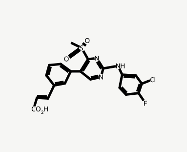 CS(=O)(=O)c1nc(Nc2ccc(F)c(Cl)c2)ncc1-c1cccc(C=CC(=O)O)c1